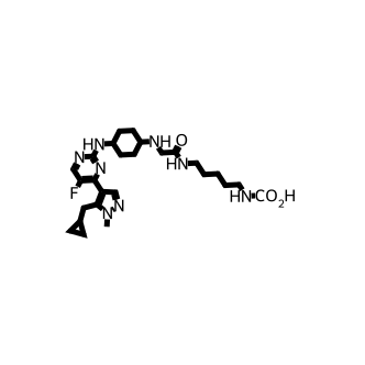 Cn1ncc(-c2nc(NC3CCC(NCC(=O)NCCCCCNC(=O)O)CC3)ncc2F)c1CC1CC1